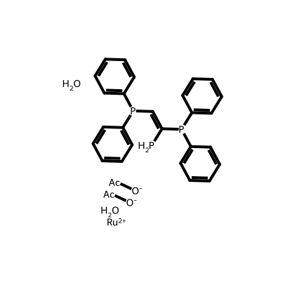 CC(=O)[O-].CC(=O)[O-].O.O.PC(=CP(c1ccccc1)c1ccccc1)P(c1ccccc1)c1ccccc1.[Ru+2]